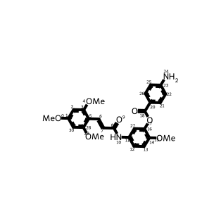 COc1cc(OC)c(/C=C/C(=O)Nc2ccc(OC)c(OC(=O)c3ccc(N)cc3)c2)c(OC)c1